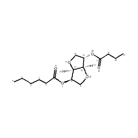 CCCCCC(=O)O[C@@H]1CO[C@H]2[C@@H]1OC[C@@H]2OC(=O)CCC